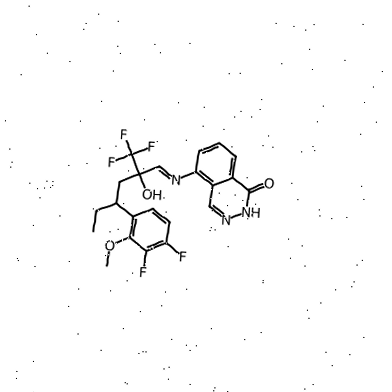 CCC(CC(O)(/C=N/c1cccc2c(=O)[nH]ncc12)C(F)(F)F)c1ccc(F)c(F)c1OC